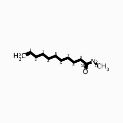 C=CCCCCCCCCC(=O)[N]C